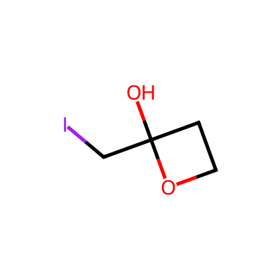 OC1(CI)CCO1